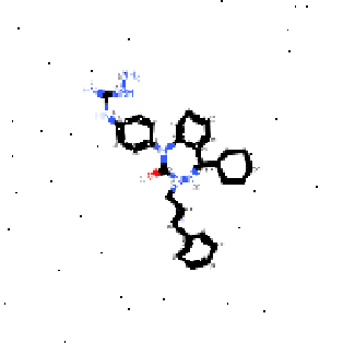 N=C(NN)Nc1ccc(N2C(=O)N(C/C=C/c3ccccc3)N=C(C3CCCCC3)c3ccccc32)cc1